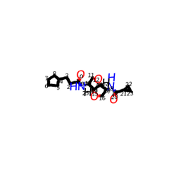 O=C(CCC1CCCC1)N[C@H]1CO[C@H]2[C@@H]1OC[C@@H]2NC(=O)C1CC1